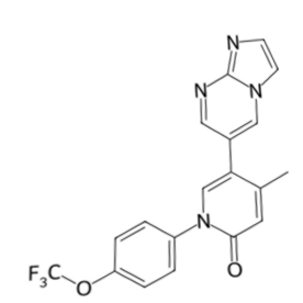 Cc1cc(=O)n(-c2ccc(OC(F)(F)F)cc2)cc1-c1cnc2nccn2c1